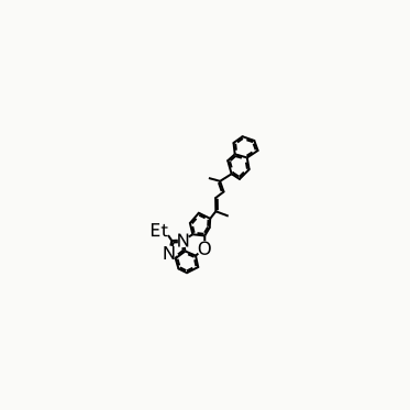 CCc1nc2cccc3c2n1-c1ccc(/C(C)=C/C=C(\C)c2ccc4ccccc4c2)cc1O3